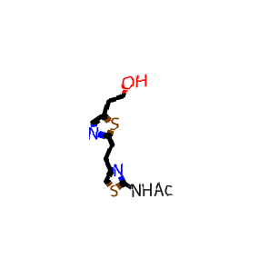 CC(=O)Nc1nc(CCc2ncc(CCO)s2)cs1